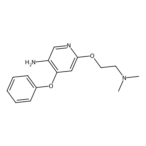 CN(C)CCOc1cc(Oc2ccccc2)c(N)cn1